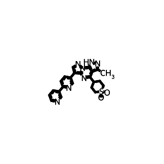 Cc1n[nH]c2c1c(C1CCS(=O)(=O)CC1)nc1c(-c3ccc(-c4cccnc4)nc3)cnn12